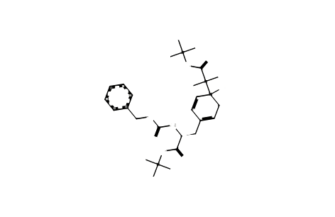 CC(C)(C)OC(=O)[C@H](CC1=CCC(O)(C(C)(C)C(=O)OC(C)(C)C)C=C1)NC(=O)OCc1ccccc1